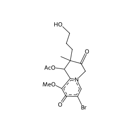 COc1c2n(cc(Br)c1=O)CC(=O)C(C)(CCCO)C2OC(C)=O